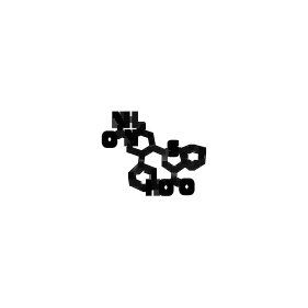 NC(=O)N1CCC(C2CC(C(=O)O)c3ccccc3S2)C(c2ccccc2)C1